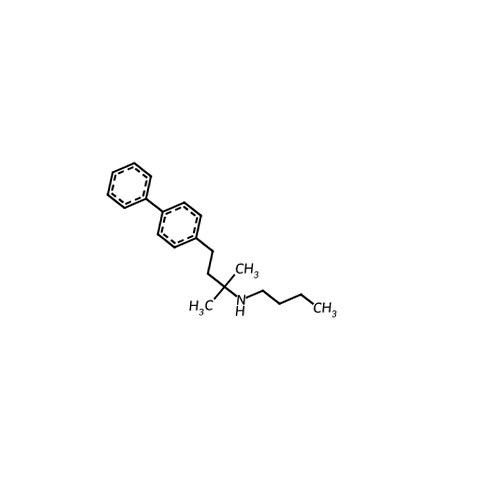 CCCCNC(C)(C)CCc1ccc(-c2ccccc2)cc1